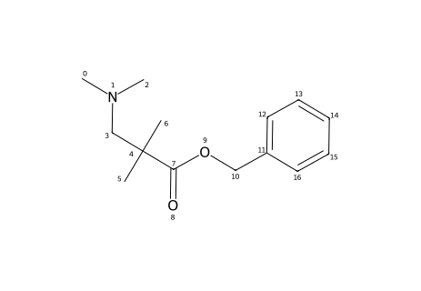 CN(C)CC(C)(C)C(=O)OCc1ccccc1